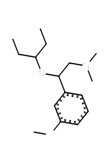 CCC(CC)NC(CN(C)C)c1cccc(OC)c1